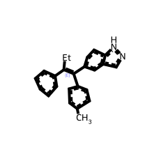 CC/C(=C(/c1ccc(C)cc1)c1ccc2[nH]ncc2c1)c1ccccc1